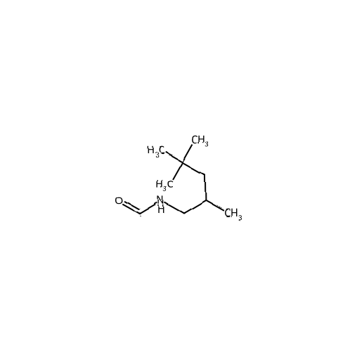 CC(CN[C]=O)CC(C)(C)C